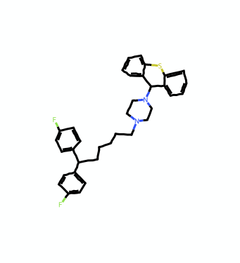 Fc1ccc(C(CCCCCN2CCN(C3c4ccccc4Sc4ccccc43)CC2)c2ccc(F)cc2)cc1